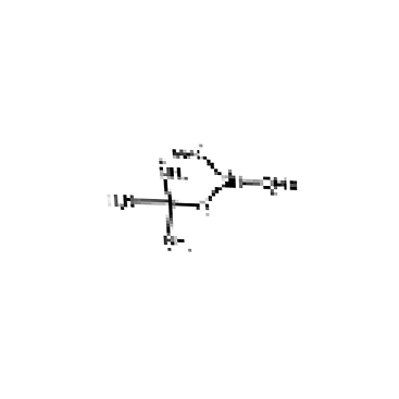 CO[SiH](OC)OC(N)(N)N